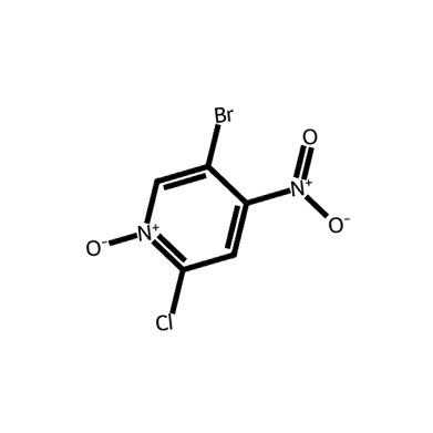 O=[N+]([O-])c1cc(Cl)[n+]([O-])cc1Br